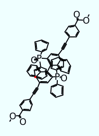 COC(=O)c1ccc(C#Cc2cc(P(=O)(c3ccccc3)c3ccccc3)c(-c3c(P(=O)(c4ccccc4)c4ccccc4)cc(C#Cc4ccc(C(=O)OC)cc4)c4ccccc34)c3ccccc23)cc1